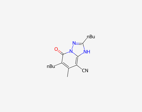 CCCCc1nn2c(=O)c(CCCC)c(C)c(C#N)c2[nH]1